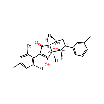 CCc1cc(C)cc(CC)c1C1=C(O)[C@@H]2[C@@H]3O[C@@H](C[C@H]3c3cccc(C)c3)[C@@H]2C1=O